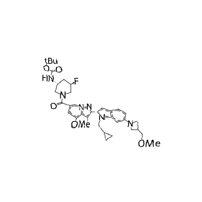 COCC1CN(c2ccc3cc(-c4nn5cc(C(=O)N6C[C@H](F)C[C@@H](NC(=O)OC(C)(C)C)C6)cc(OC)c5c4C)n(CC4CC4)c3c2)C1